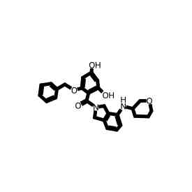 O=C(c1c(O)cc(O)cc1OCc1ccccc1)N1Cc2cccc(NC3CCCOC3)c2C1